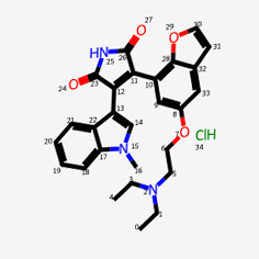 CCN(CC)CCOc1cc(C2=C(c3cn(C)c4ccccc34)C(=O)NC2=O)c2occc2c1.Cl